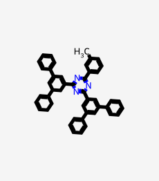 Cc1cccc(-c2nc(C3=CC(c4ccccc4)=CC(C4=CC=CCC4)C3)nc(-c3cc(-c4ccccc4)cc(-c4ccccc4)c3)n2)c1